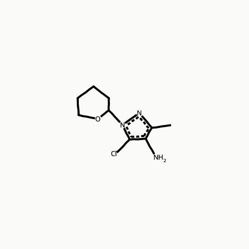 Cc1nn(C2CCCCO2)c(Cl)c1N